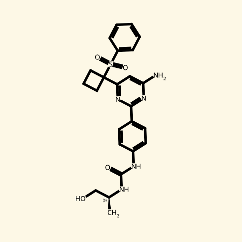 C[C@@H](CO)NC(=O)Nc1ccc(-c2nc(N)cc(C3(S(=O)(=O)c4ccccc4)CCC3)n2)cc1